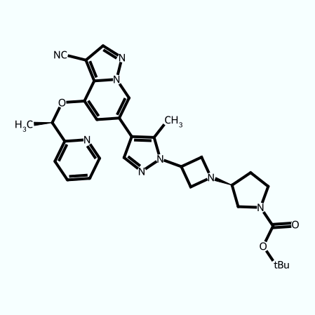 Cc1c(-c2cc(O[C@H](C)c3ccccn3)c3c(C#N)cnn3c2)cnn1C1CN([C@H]2CCN(C(=O)OC(C)(C)C)C2)C1